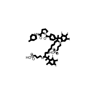 Cc1ccc(NC(=O)C2CCCN2C(=O)c2ccc(C3(C)/C(=C/C=C/C=C/C=C/C(=N\CCCS(=O)(=O)O)C(C)(C)c4c(C)cc(I)c(I)c4I)N(CCCS(=O)(=O)O)c4cc(I)c(I)c(I)c43)cc2)cc1